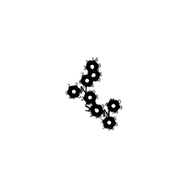 c1ccc(N(c2ccc3c(ccc4ccccc43)c2)c2ccc3c(c2)sc2ccc(N(c4ccccc4)c4ccccc4)cc23)cc1